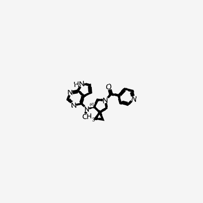 CN(c1ncnc2[nH]ccc12)[C@H]1CN(C(=O)c2ccncc2)CC12CC2